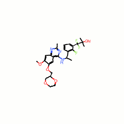 COc1cc2nc(C)nc(NC(C)c3cccc(C(F)(F)C(C)(C)O)c3F)c2cc1OC[C@@H]1COCCO1